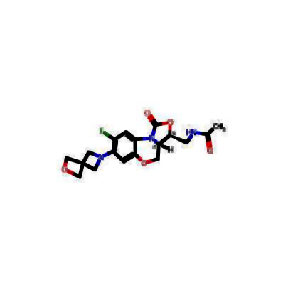 CC(=O)NC[C@@H]1OC(=O)N2c3cc(F)c(N4CC5(COC5)C4)cc3OC[C@@H]12